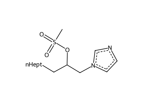 CCCCCCCCC(Cn1ccnc1)OS(C)(=O)=O